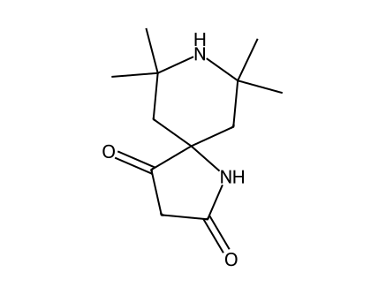 CC1(C)CC2(CC(C)(C)N1)NC(=O)CC2=O